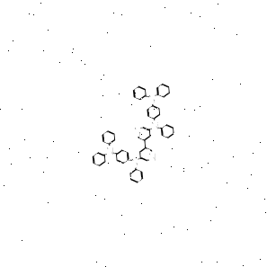 c1ccc(N(c2ccccc2)c2ccc(N(c3ccccc3)c3cncc(-c4cncc(N(c5ccccc5)c5ccc(N(c6ccccc6)c6ccccc6)cc5)c4)c3)cc2)cc1